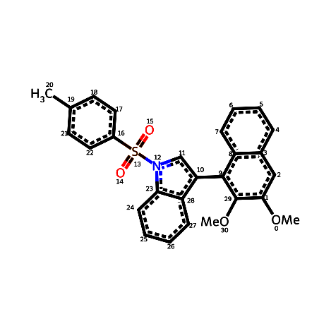 COc1cc2ccccc2c(-c2cn(S(=O)(=O)c3ccc(C)cc3)c3ccccc23)c1OC